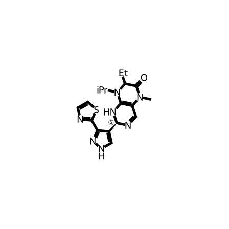 CCC1C(=O)N(C)C2=C(N[C@H](c3c[nH]nc3-c3nccs3)N=C2)N1C(C)C